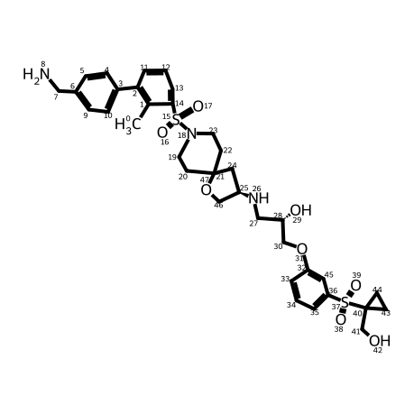 Cc1c(-c2ccc(CN)cc2)cccc1S(=O)(=O)N1CCC2(CC1)C[C@@H](NC[C@H](O)COc1cccc(S(=O)(=O)C3(CO)CC3)c1)CO2